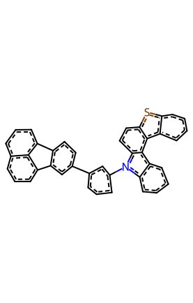 c1cc(-c2ccc3c(c2)-c2cccc4cccc-3c24)cc(-n2c3ccccc3c3c4c(ccc32)sc2ccccc24)c1